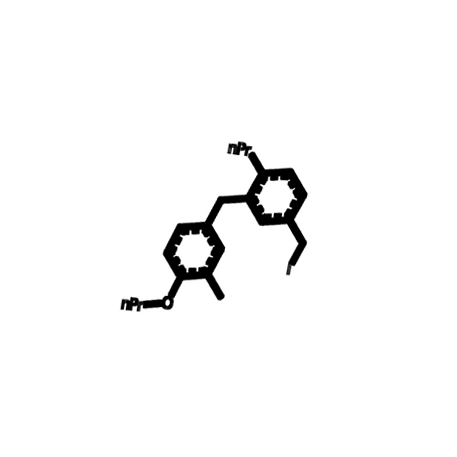 CCCOc1ccc(Cc2cc(CI)ccc2CCC)cc1C